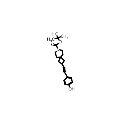 CC(C)(C)OC(=O)N1CCC2(CC1)CC(C#Cc1ccc(O)cc1)C2